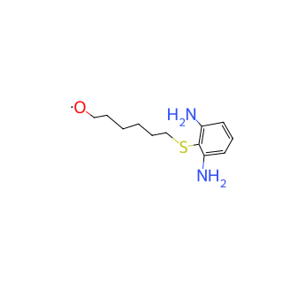 Nc1cccc(N)c1SCCCCCC[O]